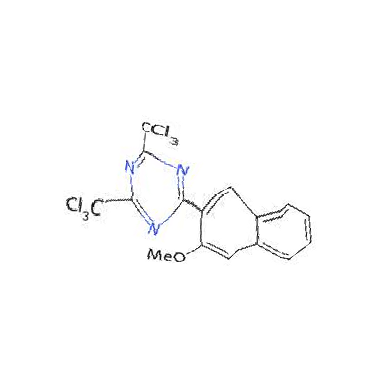 COc1cc2ccccc2cc1-c1nc(C(Cl)(Cl)Cl)nc(C(Cl)(Cl)Cl)n1